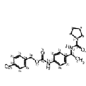 CC(NC(=O)N1CCCC1)c1ccc(NC(=O)OCc2ccc(Cl)cc2)cc1